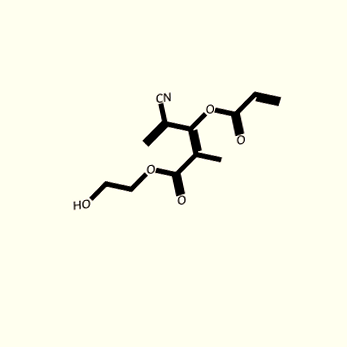 C=CC(=O)OC(C(=C)C#N)=C(C)C(=O)OCCO